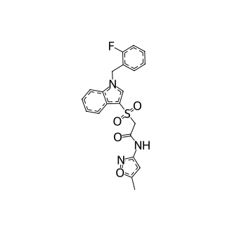 Cc1cc(NC(=O)CS(=O)(=O)c2cn(Cc3ccccc3F)c3ccccc23)no1